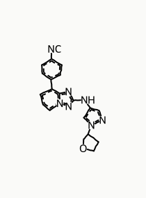 [C-]#[N+]c1ccc(-c2cccn3nc(Nc4cnn(C5CCOC5)c4)nc23)cc1